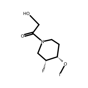 O=C(CO)N1CC[C@H](OI)[C@H](F)C1